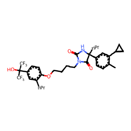 CCCc1cc(C(O)(C(F)(F)F)C(F)(F)F)ccc1OCCCCN1C(=O)NC(CCC)(c2ccc(C)c(C3CC3)c2)C1=O